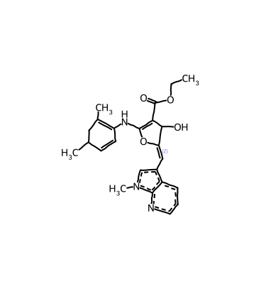 CCOC(=O)C1=C(NC2=C(C)CC(C)C=C2)O/C(=C\c2cn(C)c3ncccc23)C1O